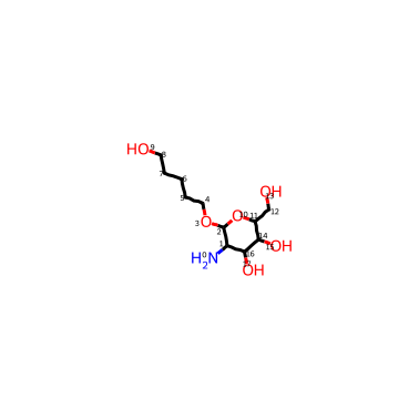 NC1C(OCCCCCO)OC(CO)C(O)C1O